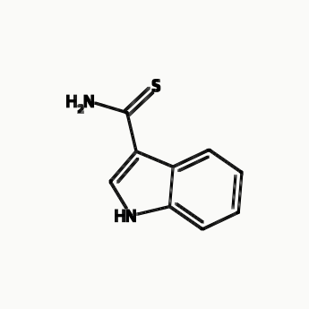 NC(=S)c1c[nH]c2ccccc12